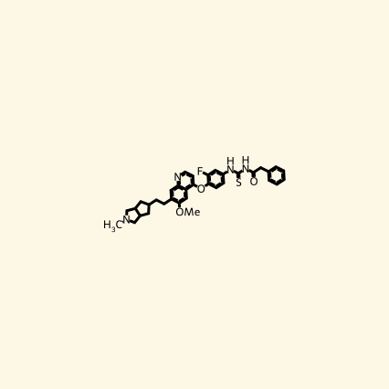 COc1cc2c(Oc3ccc(NC(=S)NC(=O)Cc4ccccc4)cc3F)ccnc2cc1CCC1CC2CN(C)CC2C1